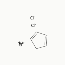 C1=CCC=C1.[Cl-].[Cl-].[Cl-].[Ti+3]